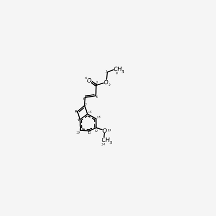 CCOC(=O)C=CC1=Cc2ccc(OC)cc21